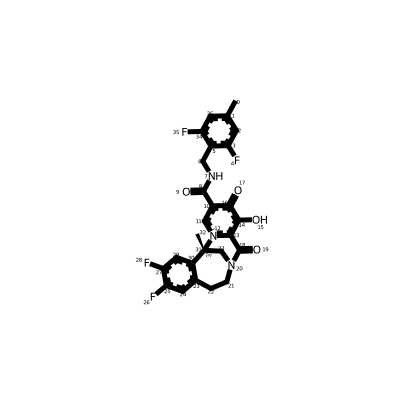 Cc1cc(F)c(CNC(=O)c2cn3c(c(O)c2=O)C(=O)N2CCc4cc(F)c(F)cc4[C@@]3(C)C2)c(F)c1